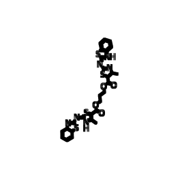 Cc1[nH]/c(=N\C2=NC3C=CC=CC3S2)sc1C(=O)OCCCOC(=O)C1SC(/N=c2\[nH]c3ccccc3s2)=NC1C